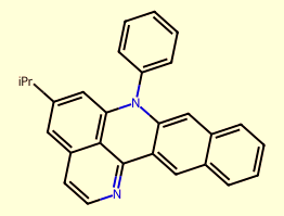 CC(C)c1cc2c3c(nccc3c1)-c1cc3ccccc3cc1N2c1ccccc1